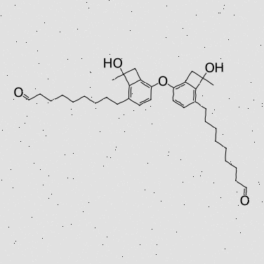 CC1(O)Cc2c(Oc3ccc(CCCCCCCCC=O)c4c3CC4(C)O)ccc(CCCCCCCCC=O)c21